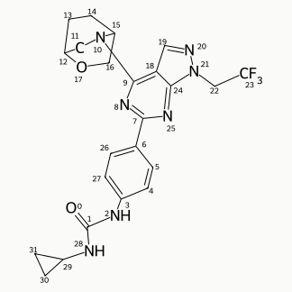 O=C(Nc1ccc(-c2nc(N3CC4CCC3CO4)c3cnn(CC(F)(F)F)c3n2)cc1)NC1CC1